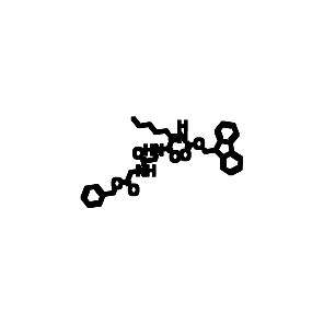 CCCCC[C@@H](NC(=O)OCC1c2ccccc2-c2ccccc21)C(=O)NCC(=O)NCC(=O)OCc1ccccc1